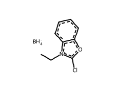 CC[n+]1c(Cl)oc2ccccc21.[BH4-]